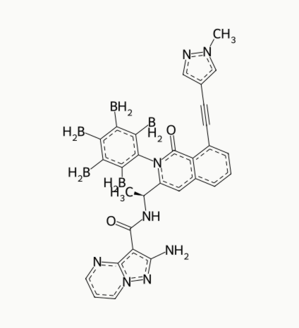 Bc1c(B)c(B)c(-n2c([C@H](C)NC(=O)c3c(N)nn4cccnc34)cc3cccc(C#Cc4cnn(C)c4)c3c2=O)c(B)c1B